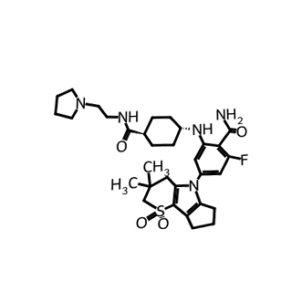 CC1(C)Cc2c(c3c(n2-c2cc(F)c(C(N)=O)c(N[C@H]4CC[C@H](C(=O)NCCN5CCCC5)CC4)c2)CCC3)S(=O)(=O)C1